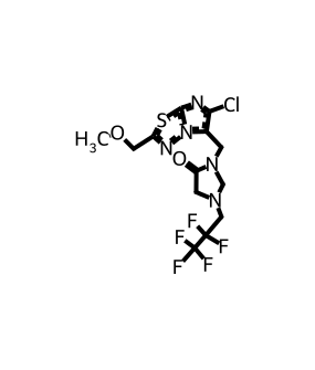 COCc1nn2c(CN3CN(CC(F)(F)C(F)(F)F)CC3=O)c(Cl)nc2s1